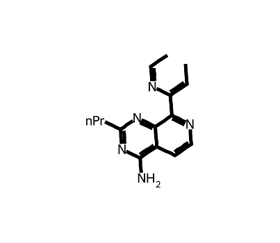 C/C=N\C(=C/C)c1nccc2c(N)nc(CCC)nc12